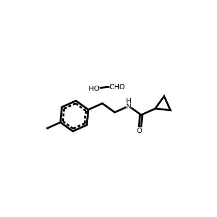 Cc1ccc(CCNC(=O)C2CC2)cc1.O=CO